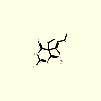 CC/C=C(\C)C1(CC)C(=O)N=C([O-])NC1=O.[Na+]